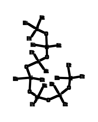 CC[Si](CC)(CC)O[Si](CC)(CC)O[Si](CC)(CC)O[Si](CC)(CC)O[Si](CC)(CC)O[Si](CC)(CC)O[Si](CC)(CC)CC